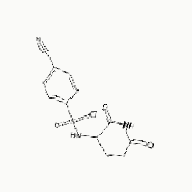 N#Cc1ccc(S(=O)(=O)NC2CCC(=O)NC2=O)cc1